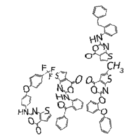 Cc1cc2c(=O)oc(Oc3ccccc3Oc3ccccc3)nc2s1.O=C(c1ccccc1)c1ccccc1Nc1nc2sccc2c(=O)o1.O=c1oc(Nc2ccc(Oc3ccc(C(F)(F)F)cc3)cc2)nc2sccc12.O=c1oc(Nc2ccccc2Cc2ccccc2)nc2sccc12